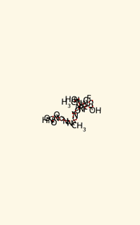 CCc1c(F)ccc2cc(O)cc(-c3ncc4c(N5CCC[C@@](C)(O)C5)nc(OCC5(CN6CCC7(CC6)CC(C)(CN6CCN(c8ccc9c(c8)CN([C@H]8CCC(=O)NC8=O)C9=O)CC6)C7)CC5)nc4c3F)c12